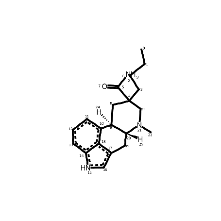 CCCCC1(C(N)=O)C[C@@H]2c3cccc4[nH]cc(c34)C[C@H]2N(C)C1